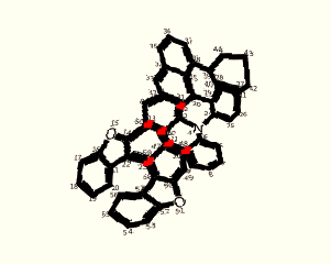 c1ccc(N(c2ccccc2-c2ccc3oc4ccccc4c3c2)c2ccccc2-c2cccc3cccc(C4CCCCC4)c23)c(-c2ccc3oc4ccccc4c3c2)c1